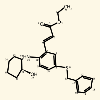 CCOC(=O)/C=C/c1cc(SCc2ccccc2)ccc1N[C@H]1CCCC[C@@H]1O